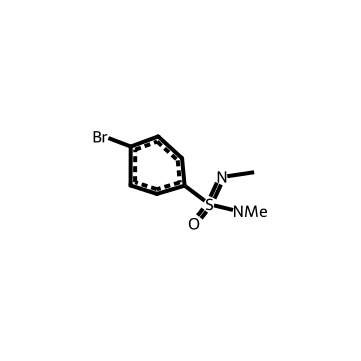 CN=S(=O)(NC)c1ccc(Br)cc1